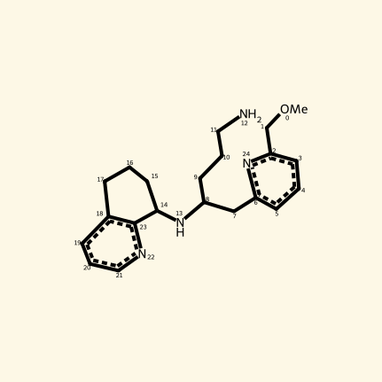 COCc1cccc(CC(CCCN)NC2CCCc3cccnc32)n1